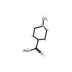 CCCC(C)C(=O)C1CCN(C)CC1